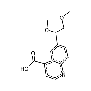 COCC(OC)c1ccc2nccc(C(=O)O)c2c1